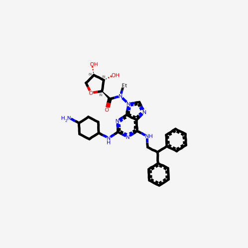 CCN(C(=O)[C@H]1OC[C@H](O)[C@@H]1O)n1cnc2c(NCC(c3ccccc3)c3ccccc3)nc(NC3CCC(N)CC3)nc21